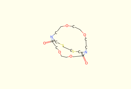 O=C1CSCCSCC(=O)N2CCOCCOCCN1CCOCCOCC2